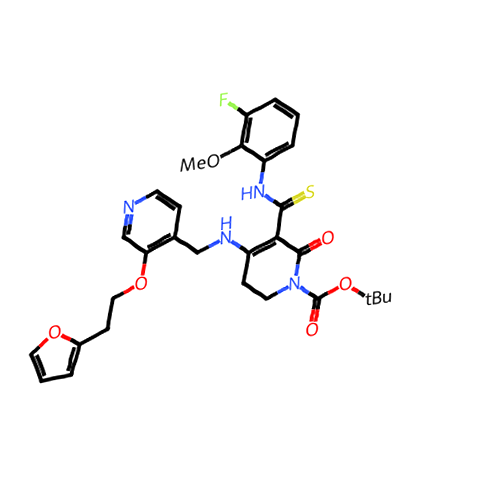 COc1c(F)cccc1NC(=S)C1=C(NCc2ccncc2OCCc2ccco2)CCN(C(=O)OC(C)(C)C)C1=O